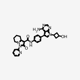 Nc1ncnc2c1c(-c1ccc(NC(=O)c3c4n(n(-c5ccccn5)c3=O)CCCC4)cc1)cn2C1CC(O)C1